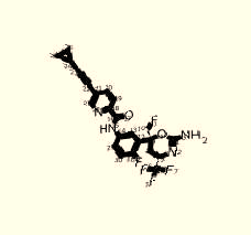 NC1=N[C@H](C(F)(F)F)C[C@@](CF)(c2cc(NC(=O)c3ccc(C#CC4CC4)cn3)ccc2F)O1